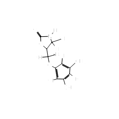 [2H]c1c(C)c([2H])c(OC([2H])([2H])C2OC(=O)N([2H])C2([2H])[2H])c([2H])c1C